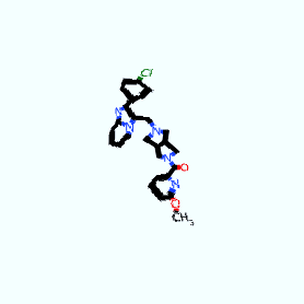 COc1cccc(C(=O)N2CC3CN(Cc4c(-c5ccc(Cl)cc5)nc5ccccn45)CC3C2)n1